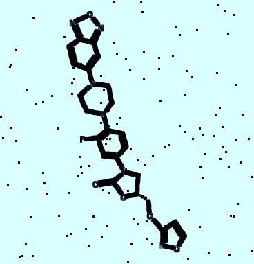 O=C1O[C@@H](COc2ccon2)CN1c1ccc(N2CCN(c3ccc4nonc4c3)CC2)c(F)c1